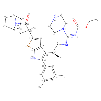 CCOC(=O)/N=C(/NC[C@@H](C)c1c(-c2cc(C)cc(C)c2)[nH]c2sc(C(C)(C)C(=O)N3C4CCC3CC4)cc12)N1CCNCC1